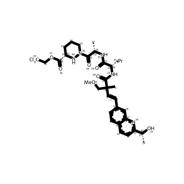 COCC(C)(/C=C/c1ccc2ccc([C@@H](C)O)nc2c1)C(=O)N[C@H](C(=O)N[C@@H](C)C(=O)N1CCC[C@@H](C(=O)OCC(Cl)(Cl)Cl)N1)C(C)C